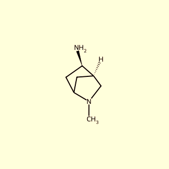 CN1C[C@H]2CC1C[C@H]2N